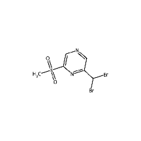 CS(=O)(=O)c1cncc(C(Br)Br)n1